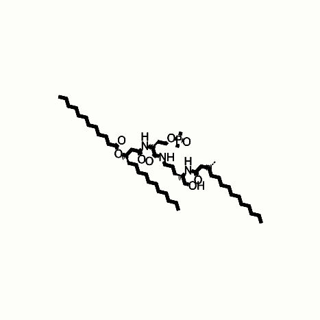 CCCCCCCCCCCC(=O)O[C@H](CCCCCCCCCCC)CC(=O)N[C@@H](CCOP(C)(C)=O)C(=O)NCCC[C@H](CO)NC(=O)C[C@H](C)CCCCCCCCCCC